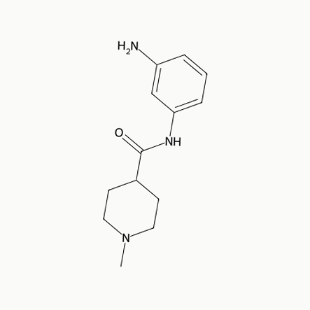 CN1CCC(C(=O)Nc2cccc(N)c2)CC1